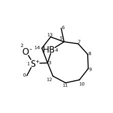 C[S+]([O-])C12BC(C)(CCCCCC1)CC2